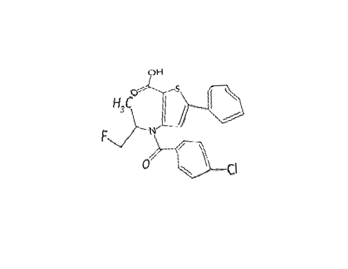 CC(CF)N(C(=O)c1ccc(Cl)cc1)c1cc(-c2ccccc2)sc1C(=O)O